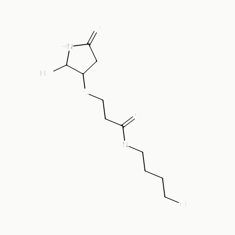 CCCCCNC(=O)CCSC1CC(=O)NC1O